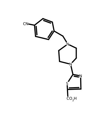 [C-]#[N+]c1ccc(CN2CCN(c3ncc(C(=O)O)s3)CC2)cc1